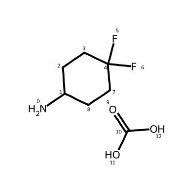 NC1CCC(F)(F)CC1.O=C(O)O